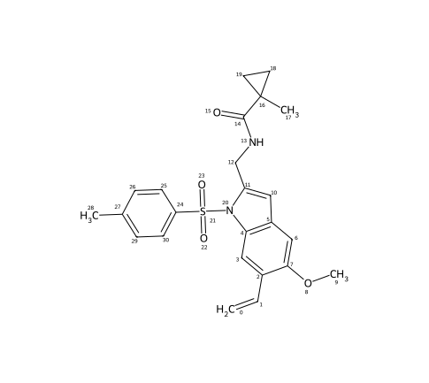 C=Cc1cc2c(cc1OC)cc(CNC(=O)C1(C)CC1)n2S(=O)(=O)c1ccc(C)cc1